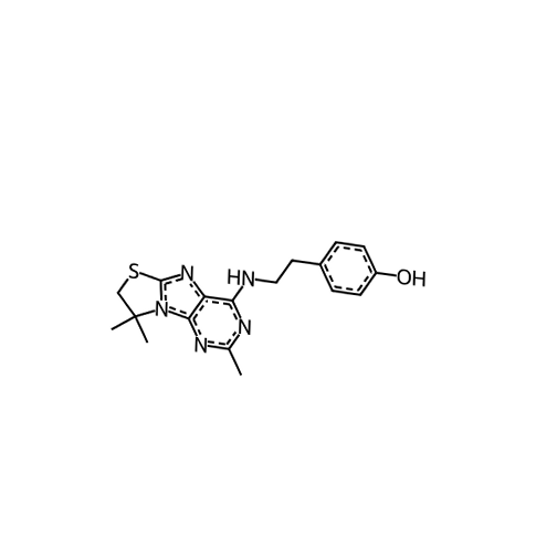 Cc1nc(NCCc2ccc(O)cc2)c2nc3n(c2n1)C(C)(C)CS3